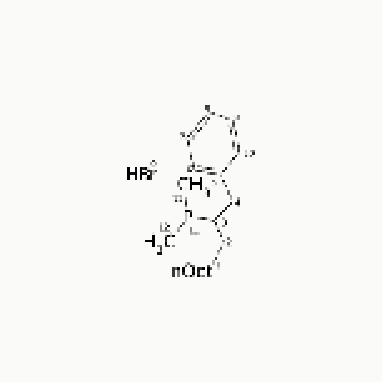 Br.CCCCCCCCCC(Cc1ccccc1)P(C)C